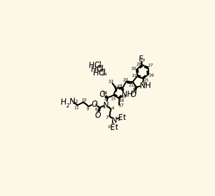 CCN(CC)CCN(C(=O)OCCCN)C(=O)c1c(C)[nH]c(C=C2C(=O)Nc3ccc(F)cc32)c1C.Cl.Cl.Cl